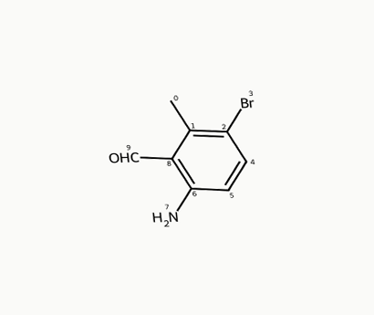 Cc1c(Br)ccc(N)c1C=O